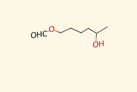 CC(O)CCCCOC=O